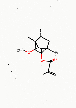 C=C(C)C(=O)OC1C(OC=O)C2(C)CCC1(C(C)C)CC2C